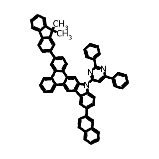 CC1(C)c2ccccc2-c2ccc(-c3ccc4c(c3)c3ccccc3c3cc5c6cc(-c7ccc8ccccc8c7)ccc6n(-c6cc(-c7ccccc7)nc(-c7ccccc7)n6)c5cc43)cc21